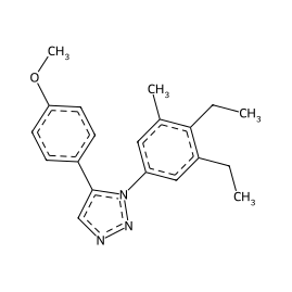 CCc1cc(-n2nncc2-c2ccc(OC)cc2)cc(C)c1CC